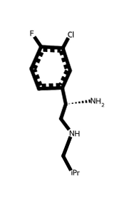 CC(C)CNC[C@@H](N)c1ccc(F)c(Cl)c1